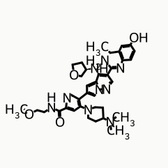 CCc1cc(O)ccc1/N=C(\N)c1cnn2cc(-c3cnc(C(=O)NCCOC)cc3N3CCC(N(C)C)CC3)cc2c1N[C@@H]1CCOC1